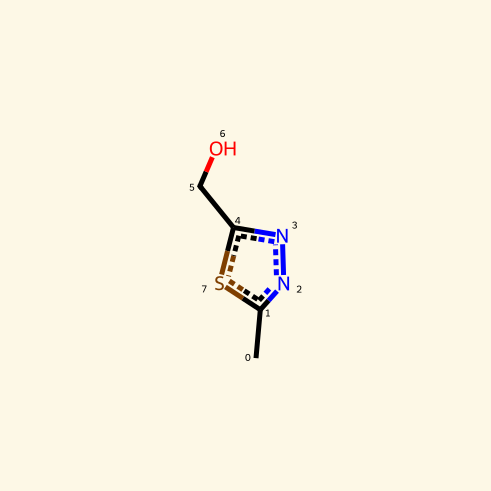 Cc1nnc(CO)s1